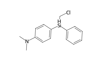 CN(C)c1ccc([SiH](CCl)c2ccccc2)cc1